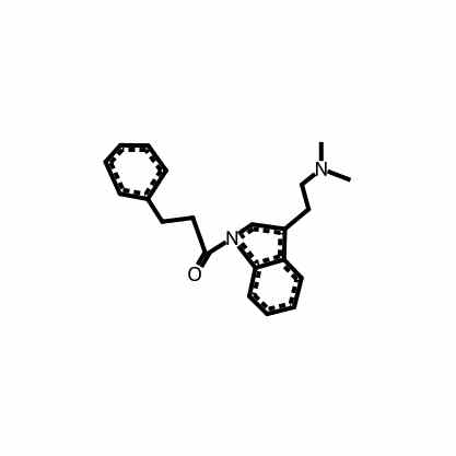 CN(C)CCc1cn(C(=O)CCc2ccccc2)c2ccccc12